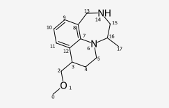 COCC1CCN2c3c(cccc31)CNCC2C